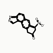 O=C1CC([N+](=O)[O-])=c2cc3ccc4c(c3cc2C1)C=NN=4